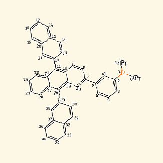 CC(C)P(c1cccc(-c2ccc3c(-c4ccc5ccccc5c4)c4ccccc4c(-c4ccc5ccccc5c4)c3c2)c1)C(C)C